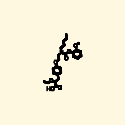 CCCCCN(CCOc1ccc(CC(OCC)C(=O)O)cc1)C(=O)Oc1ccccc1OC